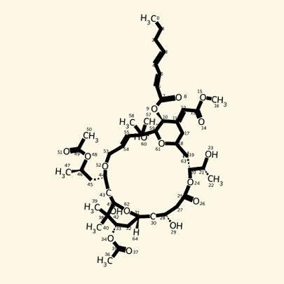 CCC/C=C/C=C/C(=O)O[C@H]1/C(=C/C(=O)OC)C[C@H]2C[C@H]([C@@H](C)O)OC(=O)C[C@H](O)C[C@@H]3C[C@H](OC(C)=O)C(C)(C)[C@](O)(C[C@H](C[C@@H](C)OC(C)=O)OC/C=C/C(C)(C)[C@]1(O)O2)O3